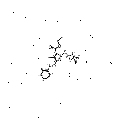 CCOC(=O)c1c(C)c(OCc2ccccc2)nn1CC1CC(F)(F)C1